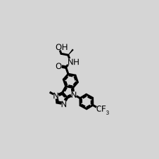 C[C@H](CO)NC(=O)c1ccc2c(c1)c1c(ncn1C)n2-c1ccc(C(F)(F)F)cc1